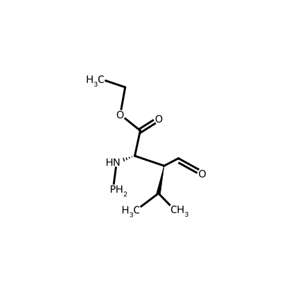 CCOC(=O)[C@@H](NP)[C@@H](C=O)C(C)C